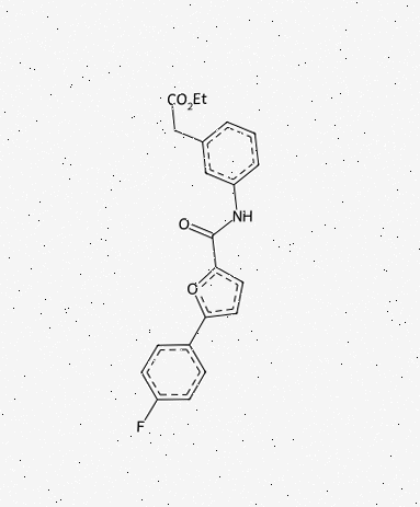 CCOC(=O)Cc1cccc(NC(=O)c2ccc(-c3ccc(F)cc3)o2)c1